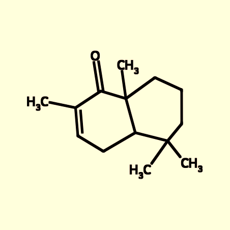 CC1=CCC2C(C)(C)CCCC2(C)C1=O